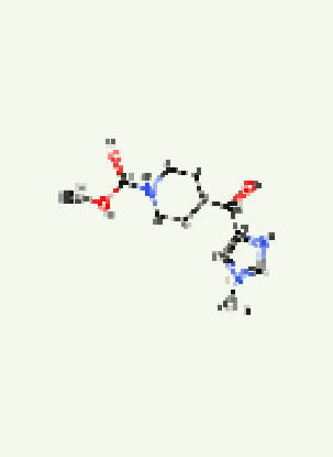 Cn1cnc(C(=O)C2CCN(C(=O)OC(C)(C)C)CC2)c1